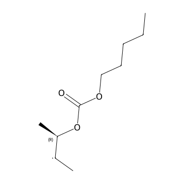 C[CH][C@@H](C)OC(=O)OCCCCC